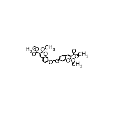 COC(=O)C(=Cc1ccc(OCOc2ccc(C=C(C(=O)OC)C(=O)OC)cc2)cc1)C(=O)OC